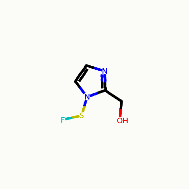 OCc1nccn1SF